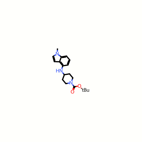 Cn1ccc2c(NC3CCN(C(=O)OC(C)(C)C)CC3)cccc21